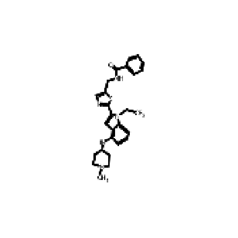 CN1CCC(Nc2cccc3c2cc(-c2ncc(CNC(=O)c4ccccc4)s2)n3CC(F)(F)F)CC1